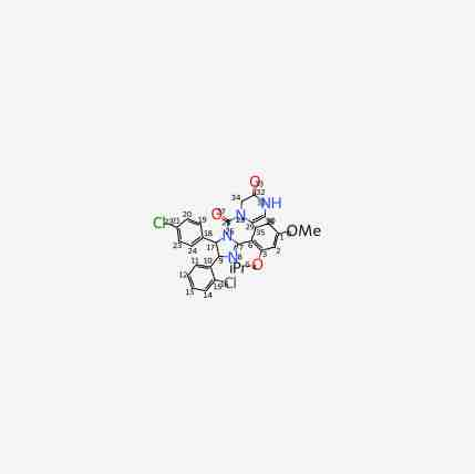 COC1=CC(OC(C)C)=C(C2=NC(c3ccccc3Cl)C(c3ccc(Cl)cc3)N2C(=O)N2C=CNC(=O)C2)CC1